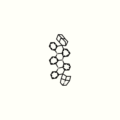 c1ccc2c(c1)N1c3cccc4c3B(c3cccc(c31)C21C2CC3CC(C2)CC1C3)c1cccc2c1N4c1ccccc1C21C2CC3CC4CC1C42C3